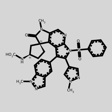 CN1C(=O)[C@]2(CC[C@@H](NC(=O)O)C2)c2c1cnc1c2c(-c2ccc3c(cnn3C)c2)c(-c2cnn(C)c2)n1S(=O)(=O)c1ccccc1